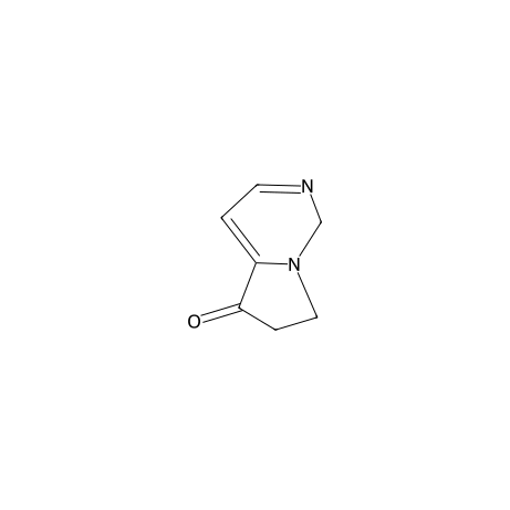 O=C1CCN2CN=CC=C12